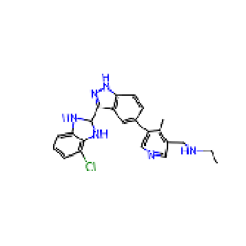 CCNCc1cncc(-c2ccc3[nH]nc(C4Nc5cccc(Cl)c5N4)c3c2)c1C